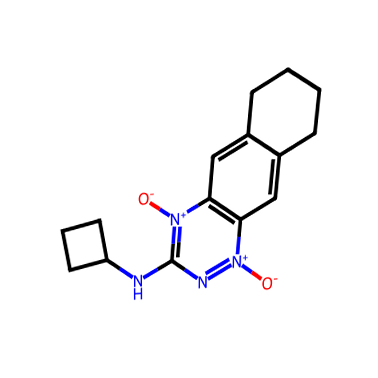 [O-][n+]1nc(NC2CCC2)[n+]([O-])c2cc3c(cc21)CCCC3